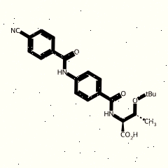 C[C@@H](OC(C)(C)C)[C@H](NC(=O)c1ccc(NC(=O)c2ccc(C#N)cc2)cc1)C(=O)O